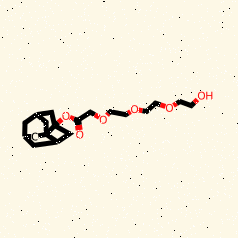 O=C(COCCOCCOCCO)OC12CC3CC4CC(C1)C2(C4)C3